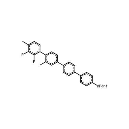 CCCCCc1ccc(-c2ccc(-c3ccc(-c4ccc(C)c(F)c4F)c(C)c3)cc2)cc1